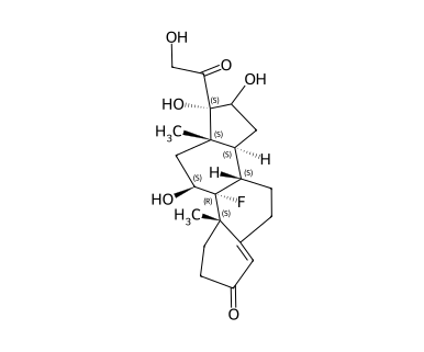 C[C@]12CCC(=O)C=C1CC[C@H]1[C@@H]3CC(O)[C@](O)(C(=O)CO)[C@@]3(C)C[C@H](O)[C@@]12F